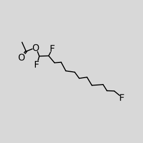 CC(=O)OC(F)C(F)CCCCCCCCCCF